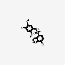 COc1cc(NS(=O)(=O)c2ccc(Cl)c3nonc23)c(OC)cc1Cl